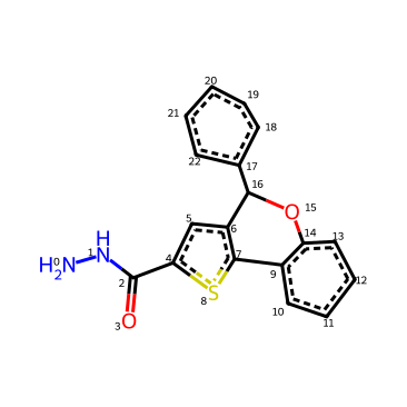 NNC(=O)c1cc2c(s1)-c1ccccc1OC2c1ccccc1